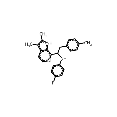 Cc1ccc(CC(Nc2ccc(F)cc2)c2nccc3c(C)c(C)[nH]c23)cc1